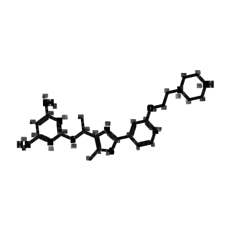 Cc1sc(-c2ccnc(OCCN3CCNCC3)c2)nc1C(C)Sc1nc(N)cc(N)n1